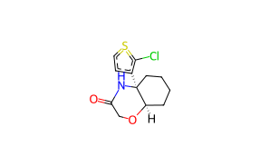 O=C1CO[C@@H]2CCCC[C@]2(c2ccsc2Cl)N1